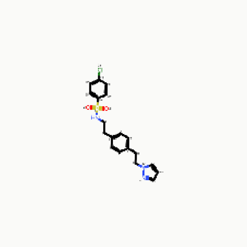 O=S(=O)(NCCc1ccc(CCn2cccn2)cc1)c1ccc(Cl)cc1